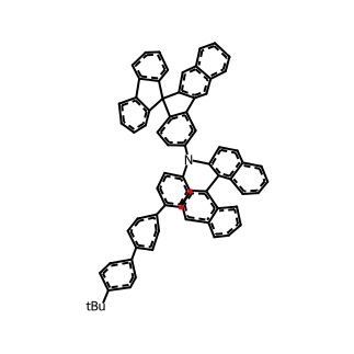 CC(C)(C)c1ccc(-c2ccc(-c3ccc(N(c4ccc5c(c4)-c4cc6ccccc6cc4C54c5ccccc5-c5ccccc54)c4ccc5ccccc5c4-c4cccc5ccccc45)cc3)cc2)cc1